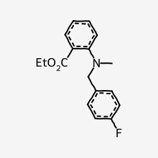 CCOC(=O)c1ccccc1N(C)Cc1ccc(F)cc1